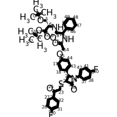 CC(C)(C)OC[C@H](NC(=O)[C@H](NC(=O)COc1ccc([C@@H]2[C@@H](SCC(=O)c3ccc(F)cc3)C(=O)N2c2ccc(F)cc2)cc1)c1ccccc1)C(=O)OC(C)(C)C